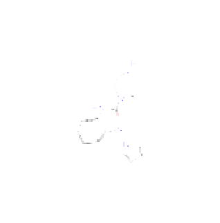 O=C(Nc1ccccc1Nn1cccc1)N1CCNCC1